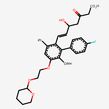 COc1c(OCCOC2CCCCO2)cc(C(C)C)c(C=CC(O)CC(=O)CC(=O)O)c1-c1ccc(F)cc1